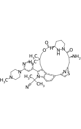 CN1CCN(c2cc(-c3c4c5cc(ccc5n3C(C)(C)C#N)-c3csc(n3)C[C@H](N)C(=O)N3CCC[C@H](N3)C(=O)OCC(C)(C)C4)ccn2)CC1